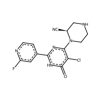 N#C[C@H]1CNCCN1c1nc(-c2ccnc(F)c2)[nH]c(=O)c1Cl